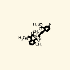 CO/C=C(/C(=O)OC)c1cccc(C)c1CO/N=C(\C)C#Cc1ccc(F)cc1C(=O)OC